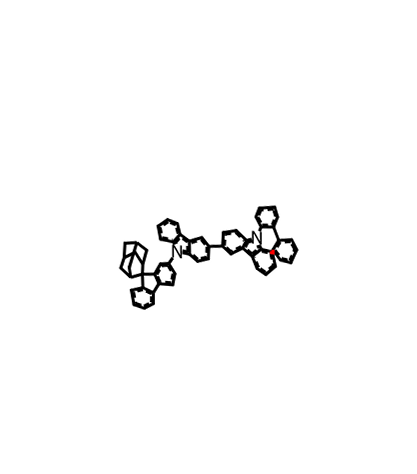 c1ccc(-c2ccccc2-n2c3ccccc3c3cc(-c4ccc5c(c4)c4ccccc4n5-c4ccc5c(c4)C4(c6ccccc6-5)C5CC6CC(C5)CC4C6)ccc32)cc1